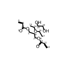 C=CC(=O)OCCCOC(=O)C=C.CCOCC.OCCO